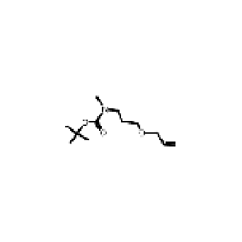 C=CCOCCCN(C)C(=O)OC(C)(C)C